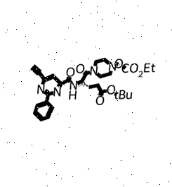 C#Cc1cc(C(=O)N[C@@H](CCC(=O)OC(C)(C)C)C(=O)N2CCN(OC(=O)OCC)CC2)nc(-c2ccccc2)n1